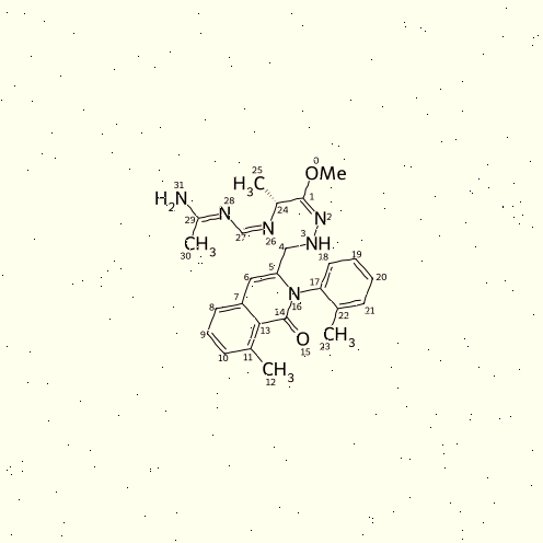 CO/C(=N/NCc1cc2cccc(C)c2c(=O)n1-c1ccccc1C)[C@@H](C)/N=C\N=C(/C)N